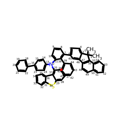 CC1(C)c2ccc(-c3cccc(N(c4ccc(-c5ccccc5)cc4)c4cccc5sc6ccccc6c45)c3-c3ccccc3)cc2-c2ccc3ccccc3c21